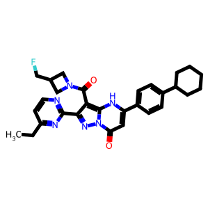 CCc1ccnc(-c2nn3c(=O)cc(-c4ccc(C5CCCCC5)cc4)[nH]c3c2C(=O)N2CC(CF)C2)n1